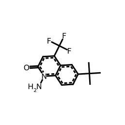 CC(C)(C)c1ccc2c(c1)c(C(F)(F)F)cc(=O)n2N